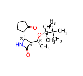 C[C@@H](O[Si](C)(C)C(C)(C)C)[C@H]1C(=O)N[C@@H]1C1CCCC1=O